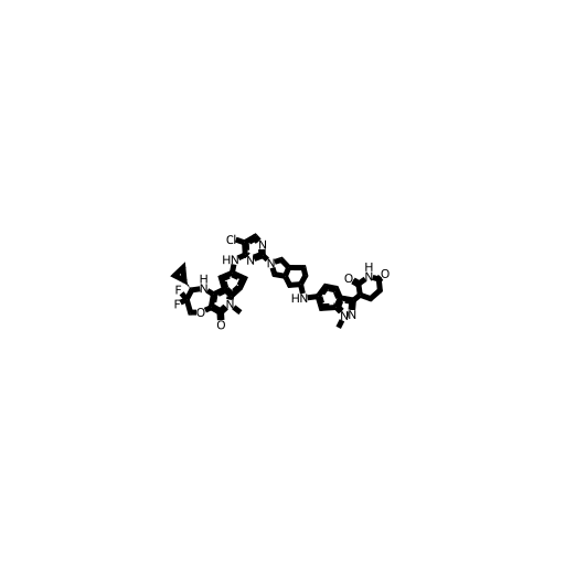 Cn1nc(C2CCC(=O)NC2=O)c2ccc(NC3CCC4CN(c5ncc(Cl)c(Nc6ccc7c(c6)c6c(c(=O)n7C)OCC(F)(F)[C@H](C7CC7)N6)n5)CC4C3)cc21